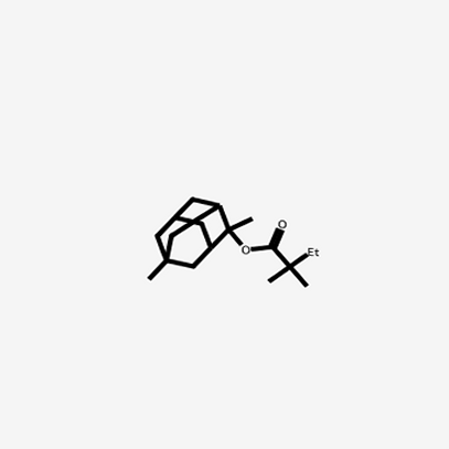 CCC(C)(C)C(=O)OC1(C)C2CC3CC1CC(C)(C3)C2